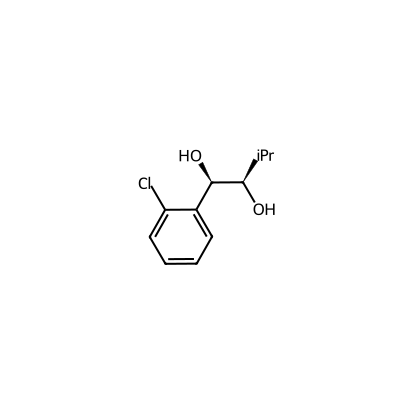 CC(C)[C@@H](O)[C@H](O)c1ccccc1Cl